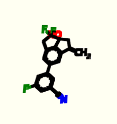 C=C1CC2(O)c3c(cc(-c4cc(F)cc(C#N)c4)cc31)CC2(F)F